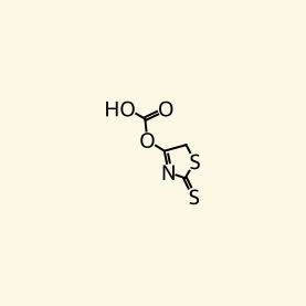 O=C(O)OC1=NC(=S)SC1